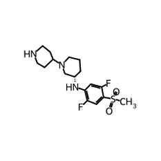 CS(=O)(=O)c1cc(F)c(N[C@H]2CCCN(C3CCNCC3)C2)cc1F